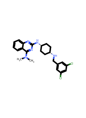 CN(C)c1nc(N[C@H]2CC[C@@H](NCc3cc(Cl)cc(Cl)c3)CC2)nc2ccccc12